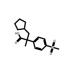 CC(CC1CCCC1)(C(=O)O)c1ccc(S(C)(=O)=O)cc1